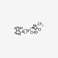 Cc1c(Cl)c(C(F)(F)F)nn1CC(C=O)N1CCN(c2ncnc3nc[nH]c23)CC1